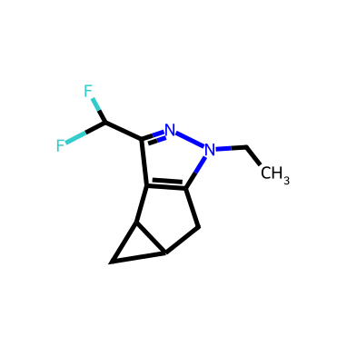 CCn1nc(C(F)F)c2c1CC1CC21